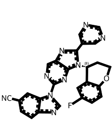 N#Cc1ccc2ncn(-c3ncc4nc(-c5cncnc5)n([C@@H]5CCOc6ccc(F)cc65)c4n3)c2c1